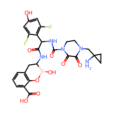 NC1(CN2CCN(C(=O)NC(C(=O)NC3Cc4cccc(C(=O)O)c4OB3O)c3c(F)cc(O)cc3F)C(=O)C2=O)CC1